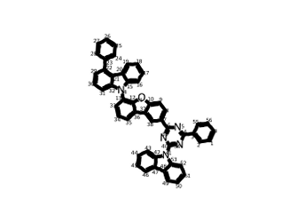 c1ccc(-c2nc(-c3ccc4oc5c(-n6c7ccccc7c7c(-c8ccccc8)cccc76)cccc5c4c3)nc(-n3c4ccccc4c4ccccc43)n2)cc1